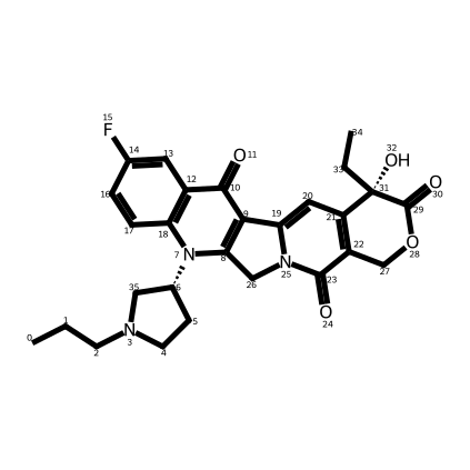 CCCN1CC[C@@H](n2c3c(c(=O)c4cc(F)ccc42)-c2cc4c(c(=O)n2C3)COC(=O)[C@]4(O)CC)C1